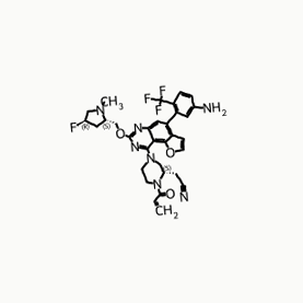 C=CC(=O)N1CCN(c2nc(OC[C@@H]3C[C@@H](F)CN3C)nc3cc(-c4cc(N)ccc4C(F)(F)F)c4ccoc4c23)C[C@@H]1CC#N